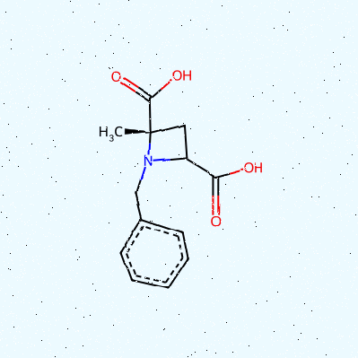 C[C@@]1(C(=O)O)CC(C(=O)O)N1Cc1ccccc1